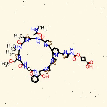 CNC(=O)C[C@@H]1NC(=O)c2csc(n2)-c2ccc(-c3nc(NC(=O)O[C@H]4C[C@H](C(=O)O)C4)cs3)nc2-c2csc(n2)-c2csc(n2)[C@H]([C@@H](O)c2ccccc2)NC(=O)CNC(=O)C2N=C(SC2COC)[C@H](C(C)C)NC(=O)c2nc1sc2C